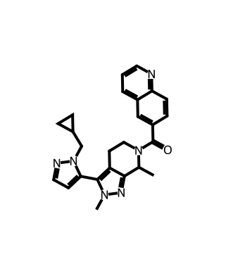 CC1c2nn(C)c(-c3ccnn3CC3CC3)c2CCN1C(=O)c1ccc2ncccc2c1